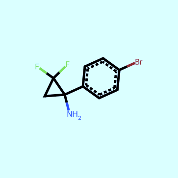 NC1(c2ccc(Br)cc2)CC1(F)F